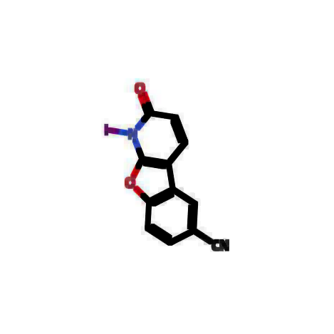 N#Cc1ccc2oc3c(ccc(=O)n3I)c2c1